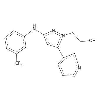 OCCn1nc(Nc2cccc(C(F)(F)F)c2)cc1-c1cccnc1